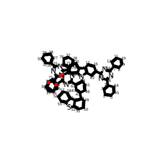 c1ccc(-c2nc(-c3ccccc3)nc(-c3ccc4c5ccc(-c6nc(-c7ccccc7)nc(-c7ccccc7)n6)cc5n(-c5ccc(-c6cccc7sc8ccccc8c67)cc5-c5nc(-c6ccccc6)nc(-c6ccccc6)n5)c4c3)n2)cc1